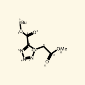 CCCCOC(=O)c1nnnn1CC(=O)OC